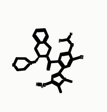 Cc1c(C(=O)O)cc(-c2cc(Cl)c(OC(F)F)cc2C(=O)N2Cc3ccccc3C[C@H]2CN2CCOCC2)n1C